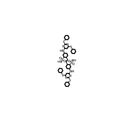 O=S(=O)(O)c1cc(Nc2cc(Sc3ccccc3)nc(Sc3ccccc3)n2)ccc1/C=C/c1ccc(Nc2cc(Sc3ccccc3)nc(Sc3ccccc3)n2)cc1S(=O)(=O)O